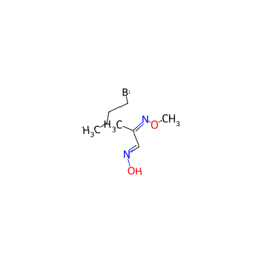 CON=C(C)C=NO.[B]CCCC